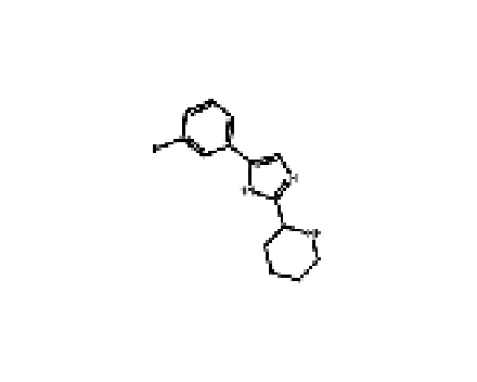 Fc1cccc(-c2cnc(C3CCCCN3)[nH]2)c1